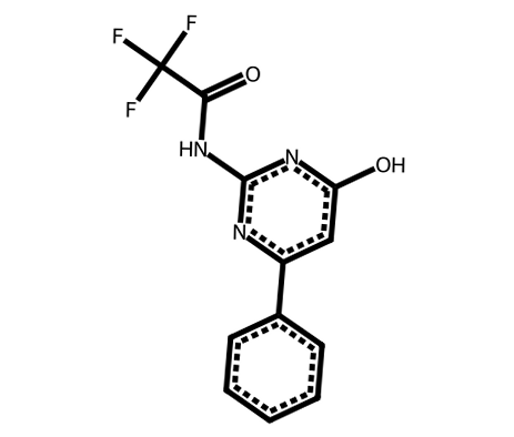 O=C(Nc1nc(O)cc(-c2ccccc2)n1)C(F)(F)F